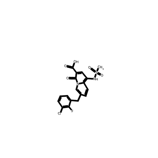 CS(=O)(=O)Nc1cc(C(=O)O)c(=O)n2cc(Cc3cccc(Cl)c3F)ccc12